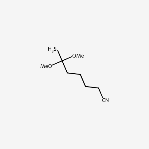 COC([SiH3])(CCCCC#N)OC